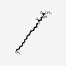 CCCCCCCCCCCCCCCCOC(=O)CCNC(C)=O